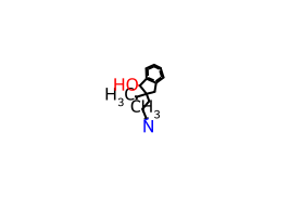 CC(C)C1(CCC#N)Cc2ccccc2C1O